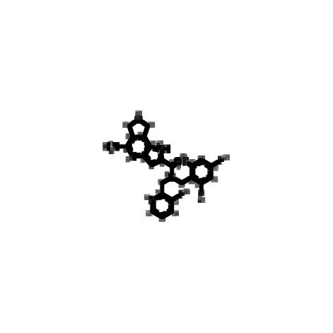 Nc1nc2cc(C(=O)N(Cc3ncccc3F)Cc3c(F)cc(F)cc3F)[nH]c2c2c1COC2